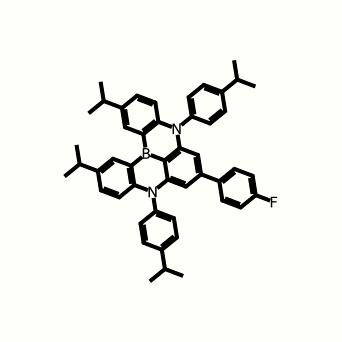 CC(C)c1ccc(N2c3ccc(C(C)C)cc3B3c4cc(C(C)C)ccc4N(c4ccc(C(C)C)cc4)c4cc(-c5ccc(F)cc5)cc2c43)cc1